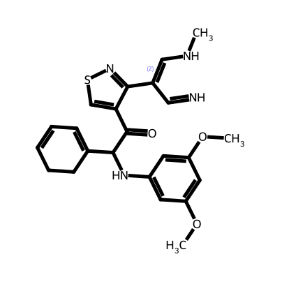 CN/C=C(\C=N)c1nscc1C(=O)C(Nc1cc(OC)cc(OC)c1)C1=CC=CCC1